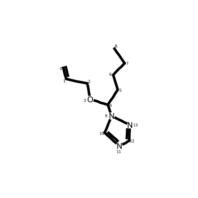 C=CCOC(CCCC)n1cncn1